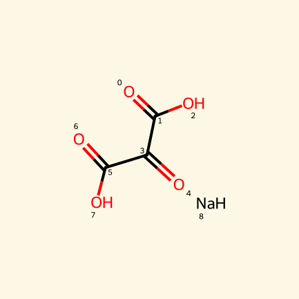 O=C(O)C(=O)C(=O)O.[NaH]